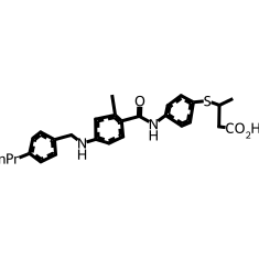 CCCc1ccc(CNc2ccc(C(=O)Nc3ccc(SC(C)CC(=O)O)cc3)c(C)c2)cc1